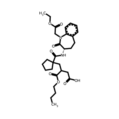 CCCCOC(=O)C(CC(=O)O)CC1(C(=O)N[C@H]2CCc3ccccc3N(CC(=O)OCC)C2=O)CCCC1